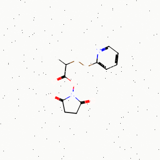 O=C(ON1C(=O)CCC1=O)C(SSc1ccccn1)S(=O)(=O)O